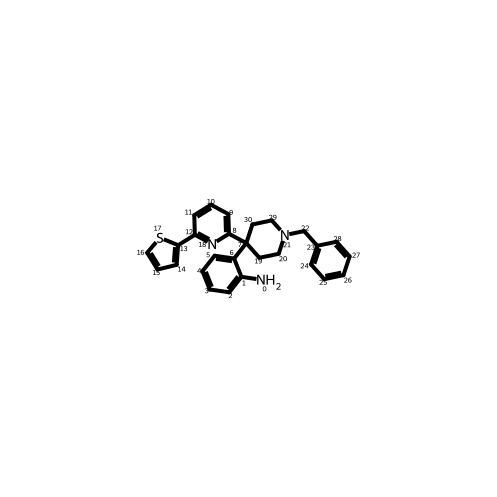 Nc1ccccc1C1(c2cccc(-c3cccs3)n2)CCN(Cc2ccccc2)CC1